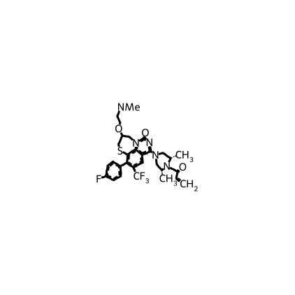 C=CC(=O)N1[C@H](C)CN(c2nc(=O)n3c4c(c(-c5ccc(F)cc5)c(C(F)(F)F)cc24)SCC(OCCNC)C3)C[C@@H]1C